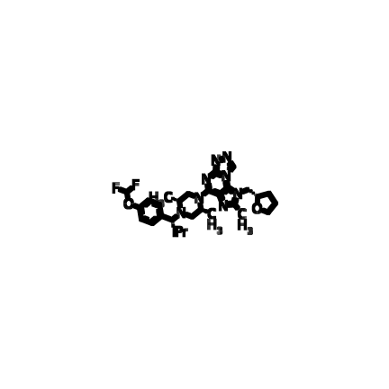 Cc1nc2c(N3C[C@@H](C)N([C@@H](c4ccc(OC(F)F)cc4)C(C)C)C[C@@H]3C)nc3nncn3c2n1C[C@@H]1CCCO1